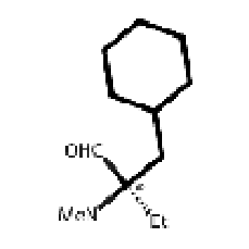 CC[C@](C=O)(CC1CCCCC1)NC